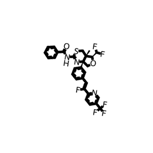 C[C@]12CSC(NC(=O)c3ccccc3)=N[C@@]1(c1cccc(/C=C(\F)c3ccc(C(F)(F)F)cn3)c1)CO[C@@H]2C(F)F